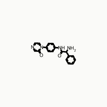 NC(C(=O)Nc1ccc(-n2ccncc2=O)cc1)c1ccccc1